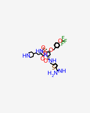 CS(=O)(=O)N[C@H](CCC1CCNCC1)C(=O)N1C[C@H](OCc2ccc(OC(F)(F)F)cc2)C[C@H]1C(=O)NCc1ccc(C(=N)N)s1